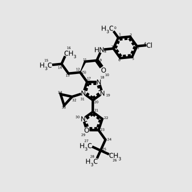 Cc1cc(Cl)ccc1NC(=O)C[C@H](CC(C)C)c1nnc(-c2cc(CC(C)(C)C)on2)n1C1CC1